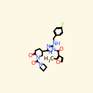 Cc1occc1C(=O)n1nc(C2CCC(=O)N(C(=O)N3CCCC3)C2)nc1NCc1ccc(F)cc1